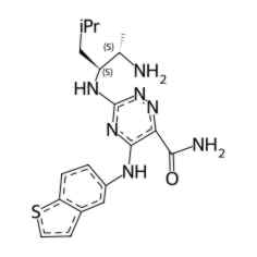 CC(C)C[C@H](Nc1nnc(C(N)=O)c(Nc2ccc3sccc3c2)n1)[C@H](C)N